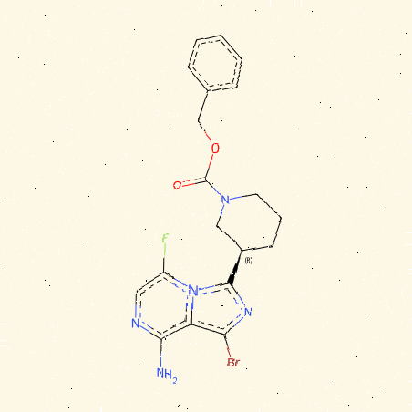 Nc1ncc(F)n2c([C@@H]3CCCN(C(=O)OCc4ccccc4)C3)nc(Br)c12